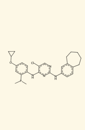 CP(C)c1cc(OC2CC2)ccc1Nc1nc(Nc2ccc3c(c2)CCCCC3)ncc1Cl